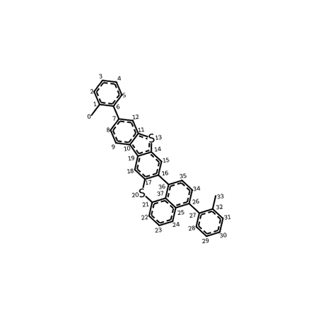 Cc1ccccc1-c1ccc2c(c1)sc1cc3c(cc12)Sc1cccc2c(-c4ccccc4C)ccc-3c12